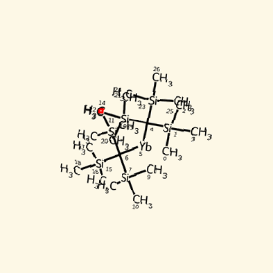 C[Si](C)(C)[C]([Yb][C]([Si](C)(C)C)([Si](C)(C)C)[Si](C)(C)C)([Si](C)(C)C)[Si](C)(C)C